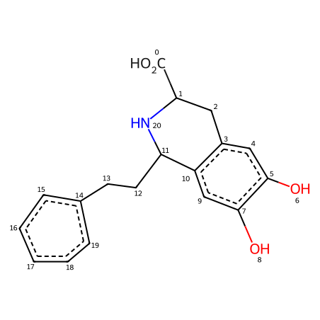 O=C(O)C1Cc2cc(O)c(O)cc2C(CCc2ccccc2)N1